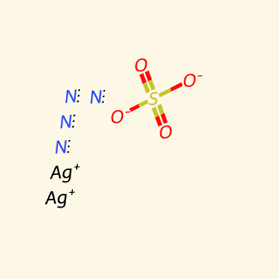 O=S(=O)([O-])[O-].[Ag+].[Ag+].[N].[N].[N].[N]